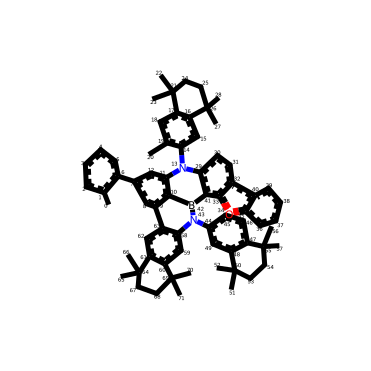 Cc1ccccc1-c1cc2c3c(c1)N(c1cc4c(cc1C)C(C)(C)CCC4(C)C)c1ccc4c(oc5ccccc54)c1B3N(c1ccc3c(c1)C(C)(C)CCC3(C)C)c1cc3c(cc1-2)C(C)(C)CCC3(C)C